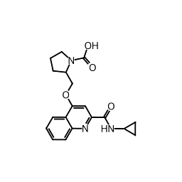 O=C(NC1CC1)c1cc(OCC2CCCN2C(=O)O)c2ccccc2n1